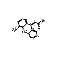 NC(=O)/C=C(/c1cccc([N+](=O)[O-])c1)c1cccnc1Cl